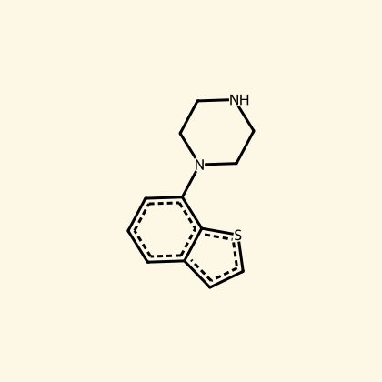 c1cc(N2CCNCC2)c2sccc2c1